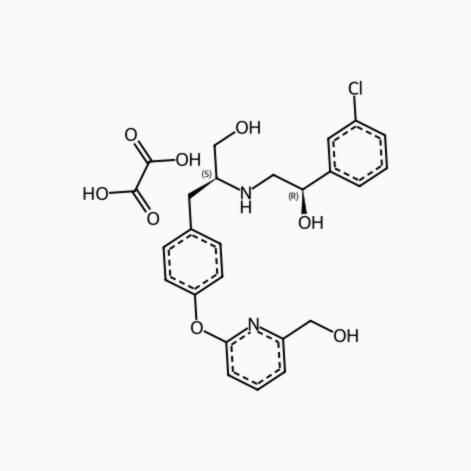 O=C(O)C(=O)O.OCc1cccc(Oc2ccc(C[C@@H](CO)NC[C@H](O)c3cccc(Cl)c3)cc2)n1